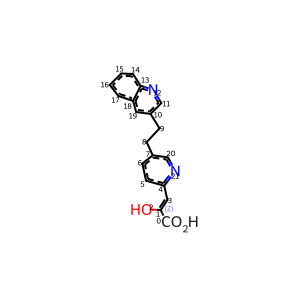 O=C(O)/C(O)=C/c1ccc(CCc2cnc3ccccc3c2)cn1